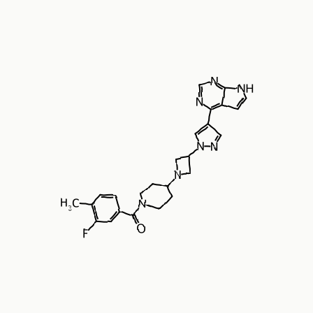 Cc1ccc(C(=O)N2CCC(N3CC(n4cc(-c5ncnc6[nH]ccc56)cn4)C3)CC2)cc1F